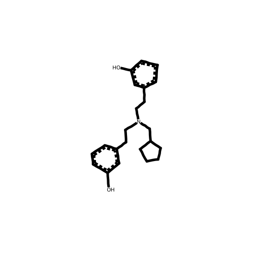 Oc1cccc(CCN(CCc2cccc(O)c2)CC2CCCC2)c1